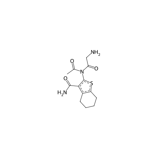 CC(=O)N(C(=O)CN)c1sc2c(c1C(N)=O)CCCC2